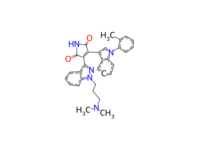 Cc1ccccc1-n1cc(C2=C(c3nn(CCCN(C)C)c4ccccc34)C(=O)NC2=O)c2ccccc21